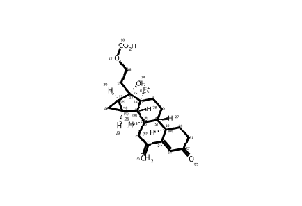 C=C1C[C@@H]2[C@H](CC[C@@]3(CC)[C@H]2[C@H]2C[C@H]2[C@@]3(O)CCOC(=O)O)[C@H]2CCC(=O)C=C12